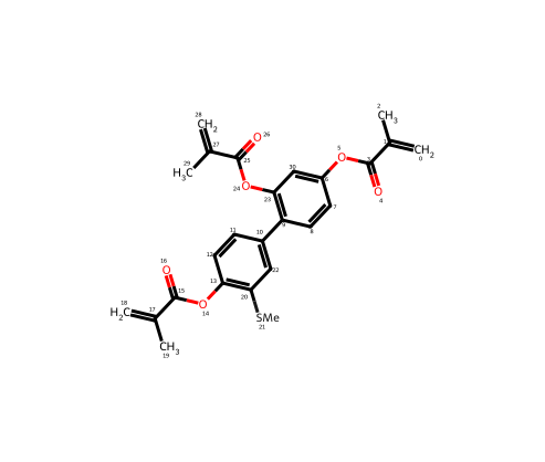 C=C(C)C(=O)Oc1ccc(-c2ccc(OC(=O)C(=C)C)c(SC)c2)c(OC(=O)C(=C)C)c1